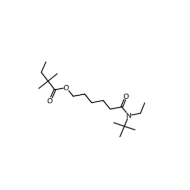 CCN(C(=O)CCCCCOC(=O)C(C)(C)CC)C(C)(C)C